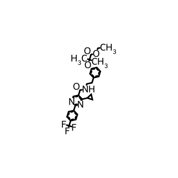 CCOC(=O)C(C)(C)Oc1cccc(CCNC(=O)c2cnc(-c3ccc(C(F)(F)F)cc3)nc2C2CC2)c1